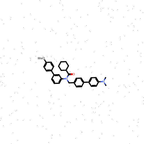 COc1ccc(-c2cccc(N(Cc3ccc(-c4ccc(N(C)C)cc4)cc3)C(=O)C3CCCCC3)c2)cc1